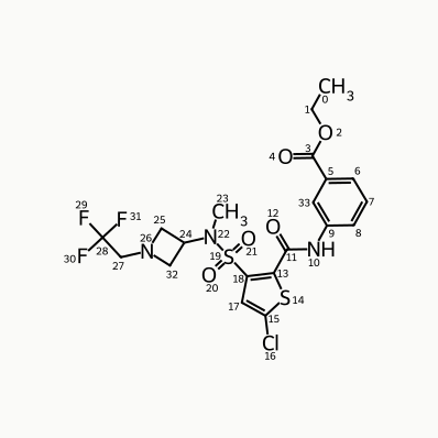 CCOC(=O)c1cccc(NC(=O)c2sc(Cl)cc2S(=O)(=O)N(C)C2CN(CC(F)(F)F)C2)c1